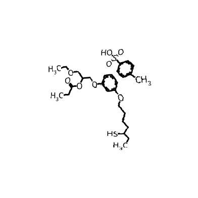 CCOCC(COc1cccc(OCCCCC(S)CC)c1)OC(=O)CC.Cc1ccc(S(=O)(=O)O)cc1